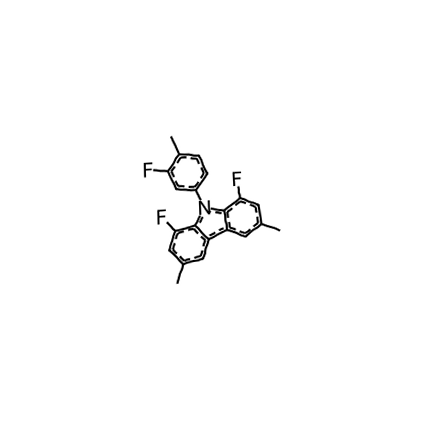 Cc1cc(F)c2c(c1)c1cc(C)cc(F)c1n2-c1ccc(C)c(F)c1